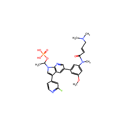 COc1cc(-c2cnc3c(c2)c(-c2ccnc(F)c2)cn3C(C)OP(=O)(O)O)cc(N(C)C(=O)/C=C/CN(C)C)c1